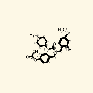 COc1ccc(CN(Cc2ccc(OC(C)C)cc2)C(=O)NC2CCN(C)CC2)c(F)c1